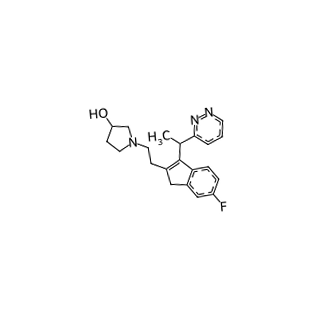 CC(C1=C(CCN2CCC(O)C2)Cc2cc(F)ccc21)c1cccnn1